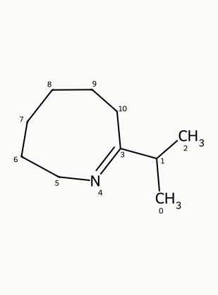 CC(C)/C1=N/CCCCCC1